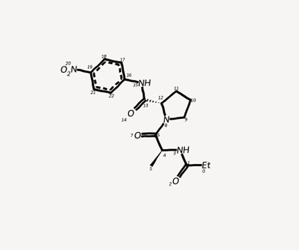 CCC(=O)N[C@@H](C)C(=O)N1CCC[C@H]1C(=O)Nc1ccc([N+](=O)[O-])cc1